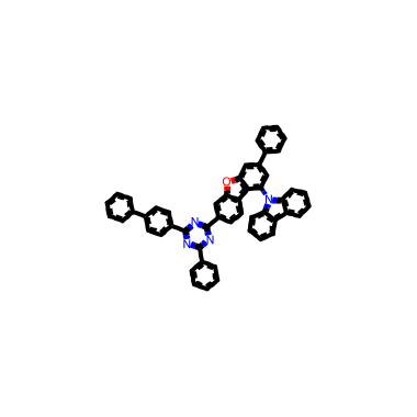 c1ccc(-c2ccc(-c3nc(-c4ccccc4)nc(-c4ccc5c(c4)oc4cc(-c6ccccc6)cc(-n6c7ccccc7c7ccccc76)c45)n3)cc2)cc1